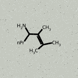 CCCC(N)C(C)=C(C)C